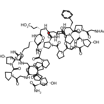 CC(=O)NCC(=O)N1CCC[C@H]1C(=O)N1C[C@H](O)C[C@H]1C(=O)NCC(=O)N1CCC[C@H]1C(=O)N1C[C@H](O)C[C@H]1C(=O)NCC(=O)N[C@@H](Cc1ccccc1)C(=O)N1C[C@H](O)C[C@H]1C(=O)NCC(=O)N[C@@H](CCC(=O)O)C(=O)N[C@@H](CCCNC(=N)N)C(=O)NCC(=O)N1CCC[C@H]1C(=O)N1C[C@H](O)C[C@H]1C(=O)NCC(=O)N1CCC[C@H]1C(=O)N1C[C@H](O)C[C@H]1C(=O)NCC(=O)N1CCC[C@H]1C(=O)N1C[C@H](O)C[C@H]1C(N)=O